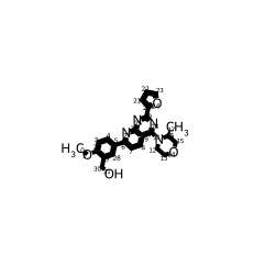 COc1ccc(-c2ccc3c(N4CCOC[C@@H]4C)nc(-c4ccco4)nc3n2)cc1CO